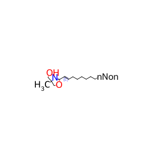 CCCCCCCCCCCCCCC/C=C/C1=NC(C)(CO)CO1